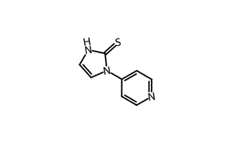 S=c1[nH]ccn1-c1ccncc1